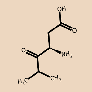 CC(C)C(=O)[C@H](N)CC(=O)O